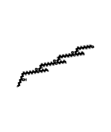 CCCCCC(O)CC/C=C\CCCCCCCC(=O)OC(CC/C=C\CCCCCCCC(=O)OC(CC/C=C\CCCCCCCC(=O)OC(CC/C=C\CCCCCCCC=O)CCCCC)CCCCC)CCCCC